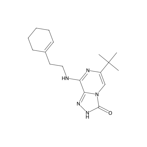 CC(C)(C)c1cn2c(=O)[nH]nc2c(NCCC2=CCCCC2)n1